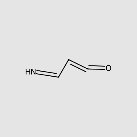 N=CC=C=O